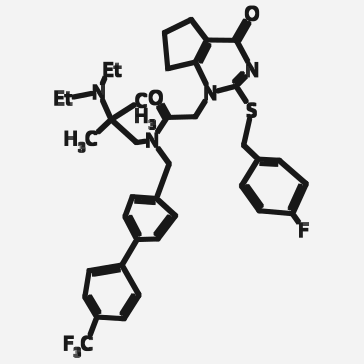 CCN(CC)C(C)(C)CN(Cc1ccc(-c2ccc(C(F)(F)F)cc2)cc1)C(=O)Cn1c(SCc2ccc(F)cc2)nc(=O)c2c1CCC2